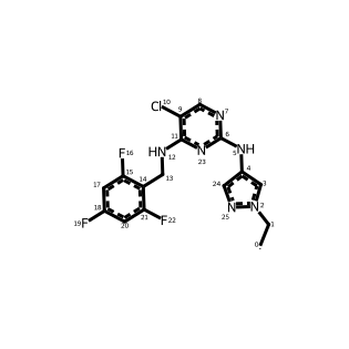 [CH2][CH]n1cc(Nc2ncc(Cl)c(NCc3c(F)cc(F)cc3F)n2)cn1